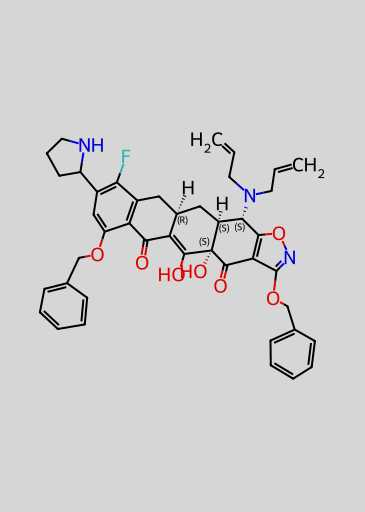 C=CCN(CC=C)[C@@H]1c2onc(OCc3ccccc3)c2C(=O)[C@@]2(O)C(O)=C3C(=O)c4c(OCc5ccccc5)cc(C5CCCN5)c(F)c4C[C@H]3C[C@@H]12